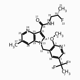 COc1ncc(C(C)(F)F)cc1Cn1cc(C(=O)NC[C@H](C)F)c2ncc(C)cc21